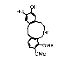 COc1ccc2c(c1OC)CNCCc1cc(O)c(O)cc1CC2